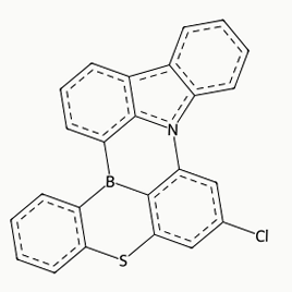 Clc1cc2c3c(c1)-n1c4ccccc4c4cccc(c41)B3c1ccccc1S2